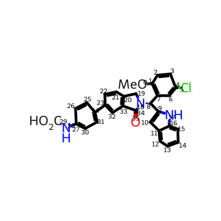 COc1ccc(Cl)cc1[C@H](c1cc2ccccc2[nH]1)N1Cc2ccc(-c3ccc(NC(=O)O)cc3)cc2C1=O